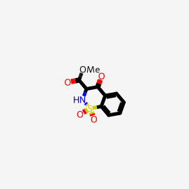 COC(=O)C1NS(=O)(=O)c2ccccc2C1=O